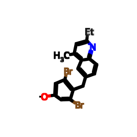 CCc1cc(C)c2cc(Cc3c(Br)cc([O])cc3Br)ccc2n1